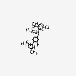 C=C(C)c1cnc(Cl)nc1NCc1ccc(-c2nc(C(F)(F)F)cn2C)c(F)c1